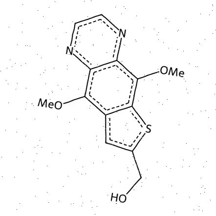 COc1c2cc(CO)sc2c(OC)c2nccnc12